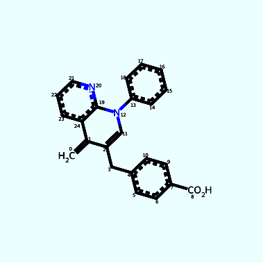 C=C1C(Cc2ccc(C(=O)O)cc2)=CN(c2ccccc2)c2ncccc21